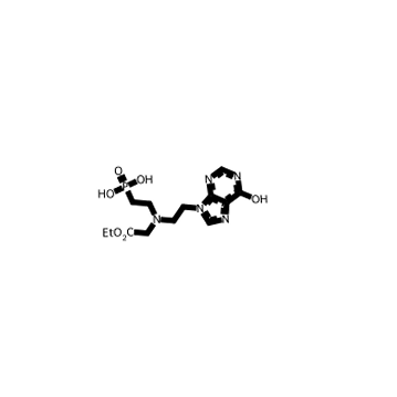 CCOC(=O)CN(CCn1cnc2c(O)ncnc21)CCP(=O)(O)O